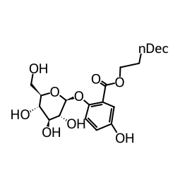 CCCCCCCCCCCCOC(=O)c1cc(O)ccc1O[C@@H]1O[C@H](CO)[C@@H](O)[C@H](O)[C@H]1O